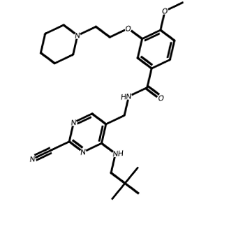 COc1ccc(C(=O)NCc2cnc(C#N)nc2NCC(C)(C)C)cc1OCCN1CCCCC1